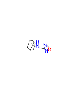 c1nc(CNC23CC4CC(CC(C4)C2)C3)no1